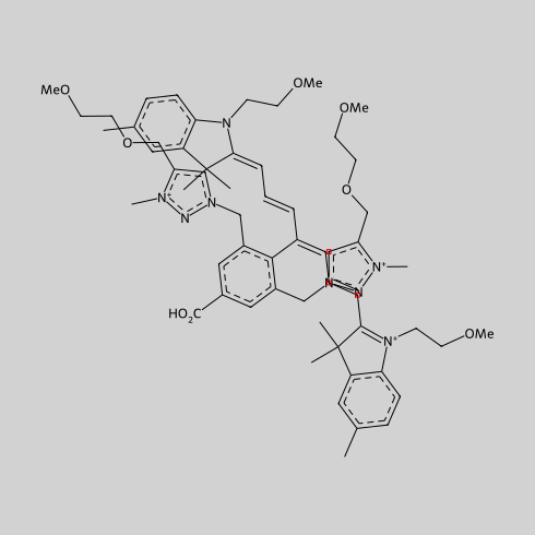 COCCOCc1cn(Cc2cc(C(=O)O)cc(Cn3cc(COCCOC)[n+](C)n3)c2C(=C\C=C\C2=[N+](CCOC)c3ccc(C)cc3C2(C)C)/C=C/C=C2/N(CCOC)c3ccc(C)cc3C2(C)C)n[n+]1C